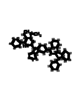 C=CC1=NC(n2c3ccccc3c3cc(-c4cc5c(c6ccccc46)c4ccccc4n5-c4ccccc4)ccc32)NC(c2ccccc2)=C1C=C